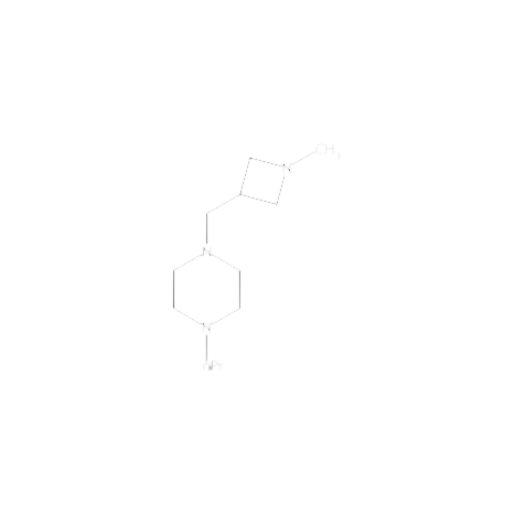 CCCN1CCN(CC2CN(C)C2)CC1